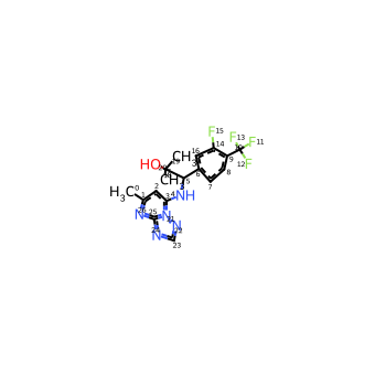 Cc1cc(NC(c2ccc(C(F)(F)F)c(F)c2)C(C)(C)O)n2ncnc2n1